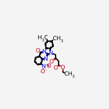 CCOC(=O)CC(=O)Cn1c2cc(C)c(C)cc2n2c(=O)c3cccc([N+](=O)[O-])c3nc12